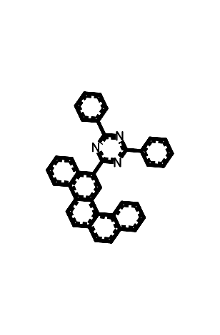 c1ccc(-c2nc(-c3ccccc3)nc(-c3cc4c(ccc5ccc6ccccc6c54)c4ccccc34)n2)cc1